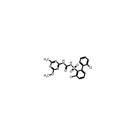 COc1nc(C)nc(NC(=O)NS(=O)(=O)c2c(Cl)cccc2-c2ccccc2Cl)n1